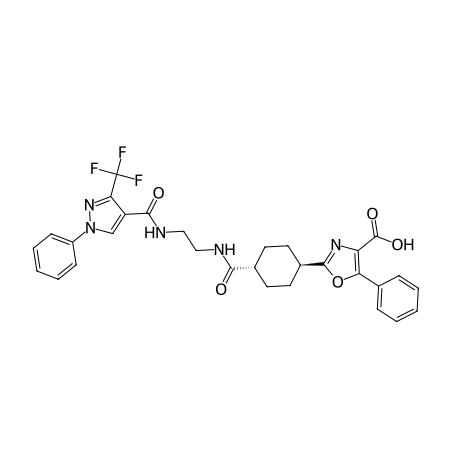 O=C(NCCNC(=O)[C@H]1CC[C@H](c2nc(C(=O)O)c(-c3ccccc3)o2)CC1)c1cn(-c2ccccc2)nc1C(F)(F)F